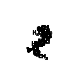 CN1CCc2c(cc(Nc3ncc(Cl)c(-n4cc(C(C)(C)C(=O)O)c5ccccc54)n3)cc2C2CC2)C1